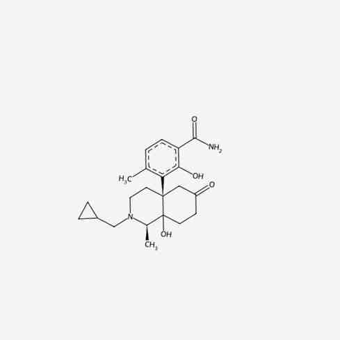 Cc1ccc(C(N)=O)c(O)c1[C@]12CCN(CC3CC3)[C@H](C)C1(O)CCC(=O)C2